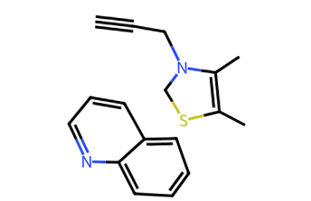 C#CCN1CSC(C)=C1C.c1ccc2ncccc2c1